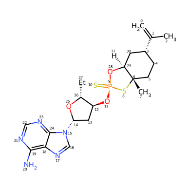 C=C(C)[C@@H]1CC[C@]2(C)S[P@@](=S)(O[C@H]3C[C@H](n4cnc5c(N)ncnc54)O[C@@H]3CC)O[C@H]2C1